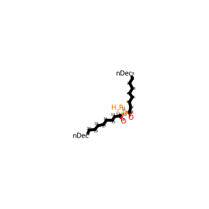 CCCCCCCCCCCCCCCCCC(=O)P(P)C(=O)CCCCCCCCCCCCCCCCC